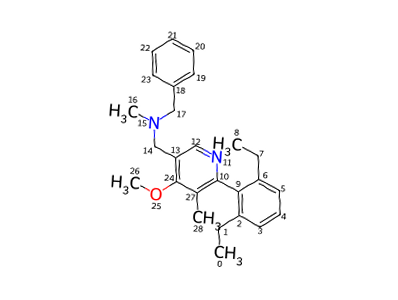 CCc1cccc(CC)c1-c1ncc(CN(C)Cc2ccccc2)c(OC)c1C